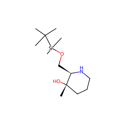 CC(C)(C)[Si](C)(C)OC[C@H]1NCCC[C@]1(C)O